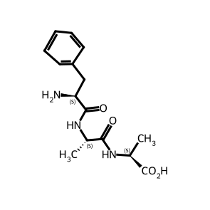 C[C@H](NC(=O)[C@H](C)NC(=O)[C@@H](N)Cc1ccccc1)C(=O)O